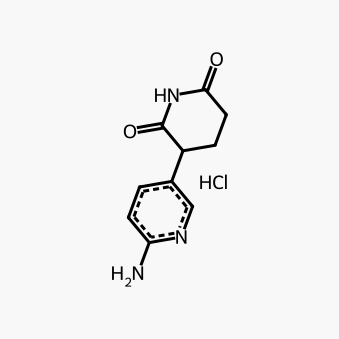 Cl.Nc1ccc(C2CCC(=O)NC2=O)cn1